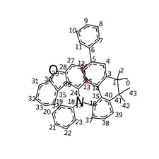 CC1(C)c2cc(-c3ccccc3)ccc2-c2c(N(c3ccccc3)c3cccc4oc5ccccc5c34)cccc2C1(C)C